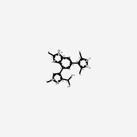 Cc1nc2c(-c3cn(C)nc3C(F)F)cc(-c3c(C)noc3C)cc2[nH]1